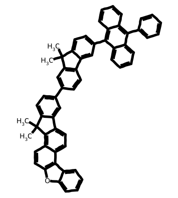 CC1(C)c2ccc(-c3c4ccccc4c(-c4ccccc4)c4ccccc34)cc2-c2ccc(-c3ccc4c(c3)-c3ccc5c(ccc6oc7ccccc7c65)c3C4(C)C)cc21